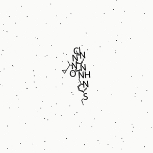 CCSc1ccc(CNc2nc3cnc(Cl)nc3n(C(C)C3CC3)c2=O)nc1